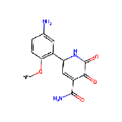 CCCOc1ccc(N)cc1C1C=C(C(N)=O)C(=O)C(=O)N1